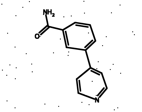 NC(=O)c1cccc(-c2ccncc2)c1